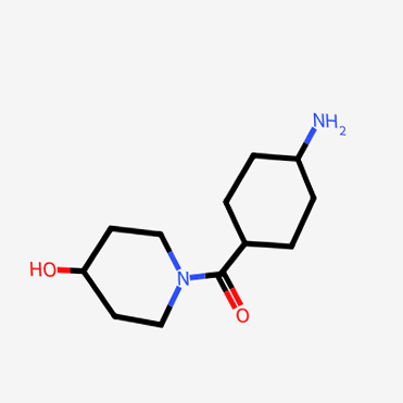 NC1CCC(C(=O)N2CCC(O)CC2)CC1